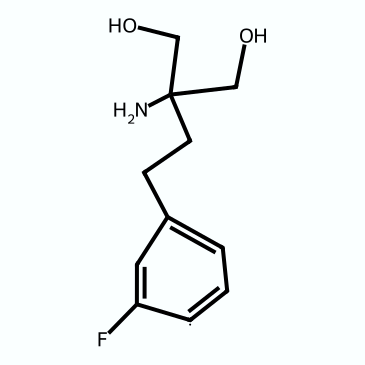 NC(CO)(CO)CCc1cc[c]c(F)c1